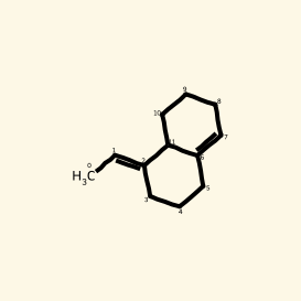 CC=C1CCCC2=CCCCC12